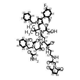 CC(C)(C)[C@H](c1cc(-c2cc(F)ccc2F)cn1Cc1ccccc1)N(CC[C@H](NC(=O)[C@H](CC(N)=O)N(Cc1ccccc1)C(=O)O)C(=O)NCCNC(=O)CN1C(=O)C=CC1=O)C(=O)CO